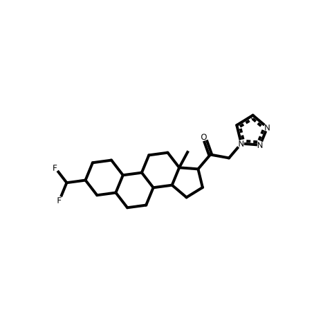 CC12CCC3C4CCC(C(F)F)CC4CCC3C1CCC2C(=O)Cn1ccnn1